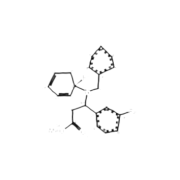 CC[C@@]1(N(Cc2ccccc2)C(CC(=O)OC)c2cccc(F)c2)C=CC=CC1